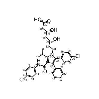 CC(C)c1c(C(=O)Nc2ccc(Cl)cc2)c(-c2ccccc2)c(-c2ccc(Cl)cc2)n1CC[C@@H](O)C[C@@H](O)CC(=O)O